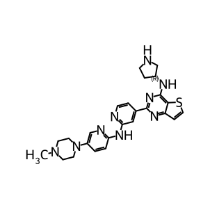 CN1CCN(c2ccc(Nc3cc(-c4nc(N[C@@H]5CCNC5)c5sccc5n4)ccn3)nc2)CC1